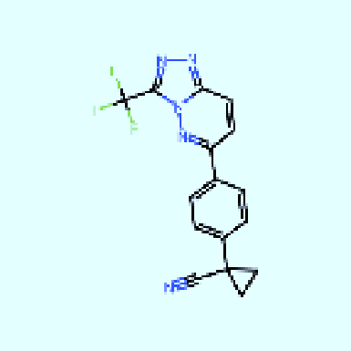 N#CC1(c2ccc(-c3ccc4nnc(C(F)(F)F)n4n3)cc2)CC1